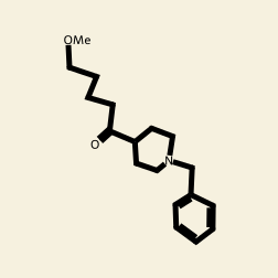 COCCCCC(=O)C1CCN(Cc2ccccc2)CC1